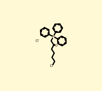 O=C(CCCCCl)C[P+](c1ccccc1)(c1ccccc1)c1ccccc1.[Cl-]